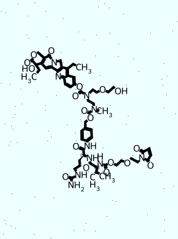 CCc1c2c(nc3ccc(OC(=O)N(CCOCCO)CCN(C)C(=O)OCc4ccc(NC(=O)[C@H](CCCNC(N)=O)NC(=O)[C@@H](NC(=O)OCCOCCN5C(=O)C=CC5=O)C(C)C)cc4)cc13)-c1cc3c(c(=O)n1C2)COC(=O)C3(O)CC